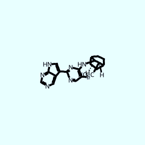 O=C(O)[C@H]1C2CCC(CC2)[C@@H]1Nc1nc(-c2c[nH]c3ncncc23)ncc1F